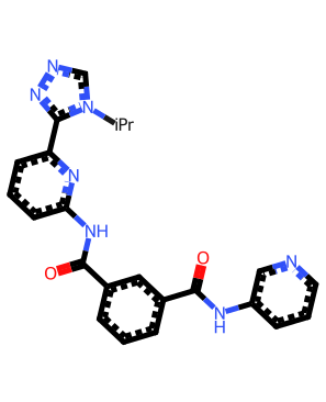 CC(C)n1cnnc1-c1cccc(NC(=O)c2cccc(C(=O)Nc3cccnc3)c2)n1